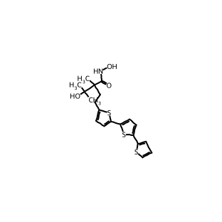 CC(C)(O)C(C)(CCc1ccc(-c2ccc(-c3cccs3)s2)s1)C(=O)NO